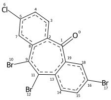 O=c1c2ccc(Cl)cc2c(Br)c(Br)c2ccc(Br)cc12